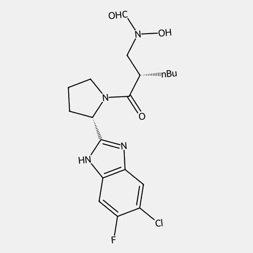 CCCC[C@@H](CN(O)C=O)C(=O)N1CCC[C@H]1c1nc2cc(Cl)c(F)cc2[nH]1